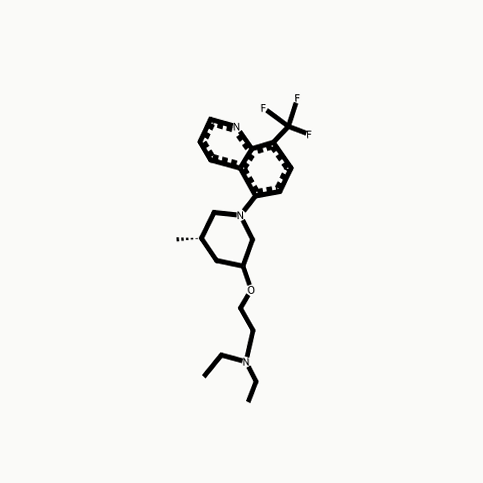 CCN(CC)CCOC1C[C@H](C)CN(c2ccc(C(F)(F)F)c3ncccc23)C1